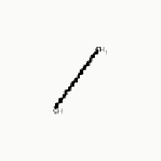 [CH]=CC=CC=CC=CC=CC=CC=CC=CC=CC=CC=CC=CC=CC=CCC